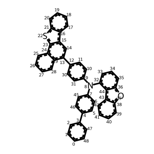 c1ccc(-c2ccc(N(c3ccc(-c4cc5c6ccccc6sc5c5ccccc45)cc3)c3cccc4oc5ccccc5c34)cc2)cc1